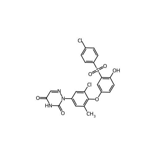 Cc1cc(-n2ncc(=O)[nH]c2=O)cc(Cl)c1Oc1ccc(O)c(S(=O)(=O)c2ccc(Cl)cc2)c1